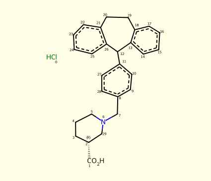 Cl.O=C(O)[C@@H]1CCCN(Cc2ccc(C3c4ccccc4CCc4ccccc43)cc2)C1